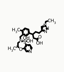 CCn1cc(CCC(CC(=O)O)c2ccc(C)c(CN3C[C@@H](C)Oc4cnccc4S3(O)O)c2)nn1